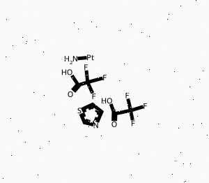 O=C(O)C(F)(F)F.O=C(O)C(F)(F)F.[NH2][Pt].c1cscn1